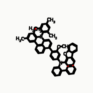 COc1cc(N(c2ccccc2-c2ccccc2)c2cccc3c2oc2ccccc23)ccc1-c1ccc2c3c(cccc13)-c1cc(C)cc(C)c1B2c1c(C)cc(C)cc1C